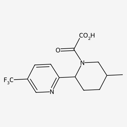 CC1CCC(c2ccc(C(F)(F)F)cn2)N(C(=O)C(=O)O)C1